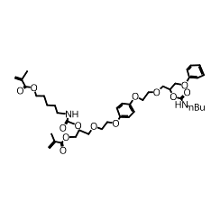 C=C(C)C(=O)OCCCCCNC(=O)OC(COCCOc1ccc(OCCOCC(COc2ccccc2)OC(=O)NCCCC)cc1)COC(=O)C(=C)C